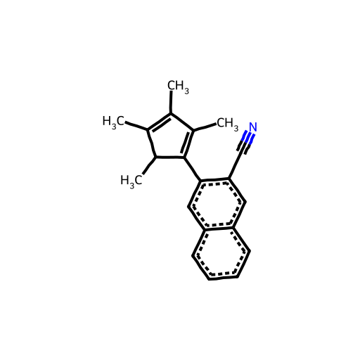 CC1=C(C)C(C)C(c2cc3ccccc3cc2C#N)=C1C